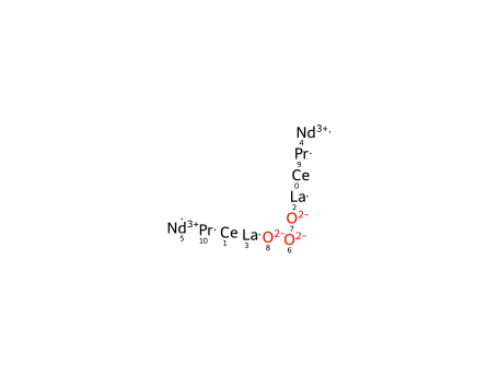 [Ce].[Ce].[La].[La].[Nd+3].[Nd+3].[O-2].[O-2].[O-2].[Pr].[Pr]